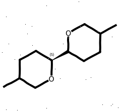 CC1CCC([C@@H]2CCC(C)CO2)OC1